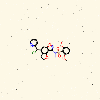 COc1cccc(OC)c1S(=O)(=O)Nc1noc2cc(C(Cl)c3ccccn3)c3c(c12)OCC3